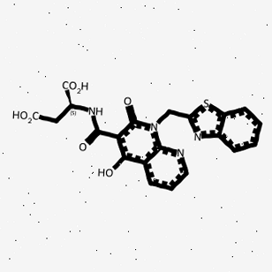 O=C(O)C[C@H](NC(=O)c1c(O)c2cccnc2n(Cc2nc3ccccc3s2)c1=O)C(=O)O